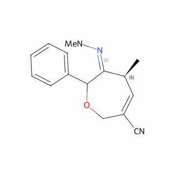 CN/N=C1\C(c2ccccc2)OCC(C#N)=C[C@@H]1C